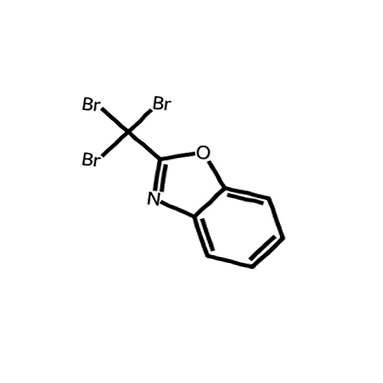 BrC(Br)(Br)c1nc2ccccc2o1